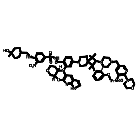 COc1cc(CN2CCN(C3C(C)(C)C4(CCN(c5ccc(C(=O)NS(=O)(=O)c6ccc(NCC7CCC(C)(O)CC7)c([N+](=O)[O-])c6)c(N6c7cc8cc[nH]c8nc7O[C@H]7COCC[C@@H]76)c5)CC4)C3(C)C)[C@@H](c3ccccc3OC(C)C)C2)cnc1N1CCOCC1